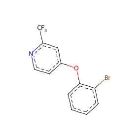 FC(F)(F)c1cc(Oc2ccccc2Br)ccn1